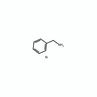 NCc1ccccc1.[N]